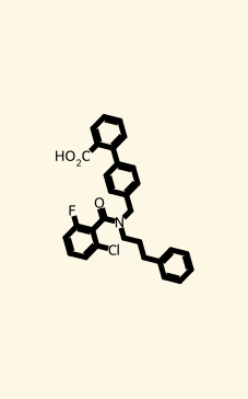 O=C(O)c1ccccc1-c1ccc(CN(CCCc2ccccc2)C(=O)c2c(F)cccc2Cl)cc1